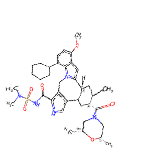 COc1ccc(C2CCCCC2)c2c1cc1n2Cc2c(c[nH]c2C(=O)NS(=O)(=O)N(C)C)C2C[C@@H](C(=O)N3C[C@@H](C)O[C@@H](C)C3)C(C)C[C@@H]12